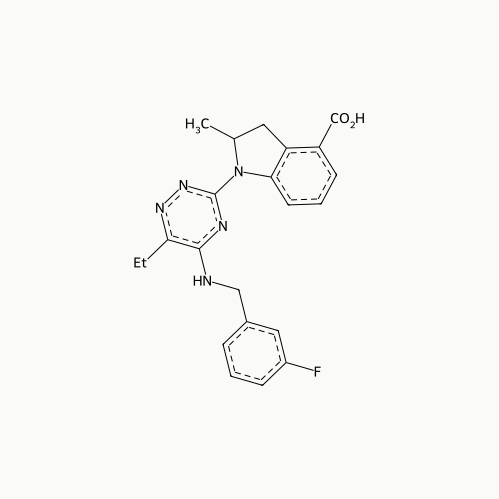 CCc1nnc(N2c3cccc(C(=O)O)c3CC2C)nc1NCc1cccc(F)c1